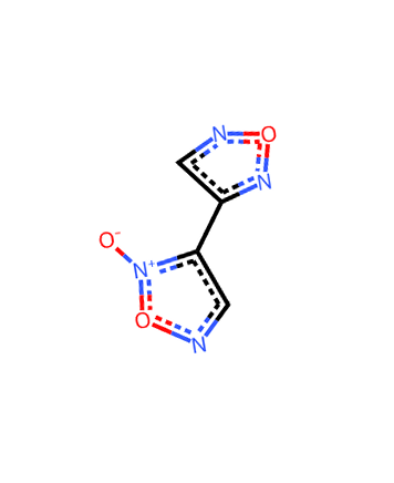 [O-][n+]1oncc1-c1cnon1